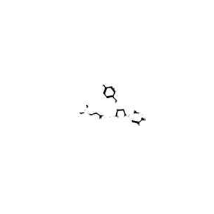 CCN(CC)CCC(=O)OC[C@H]1O[C@@H](n2cc(F)c(=O)[nH]c2=O)C[C@@H]1OCc1ccc(Cl)cc1.Cl